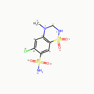 CN1CNS(=O)(=O)c2cc(S(N)(=O)=O)c(Cl)cc21